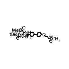 COC(=O)C(NC(=O)c1ccc(-c2ccc(OCCCS(C)(=O)=O)cc2)cc1)C(C)(C)NC(=O)OC(C)(C)C